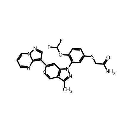 Cc1nn(-c2cc(SCC(N)=O)ccc2OC(F)F)c2cc(-c3cnn4cccnc34)ncc12